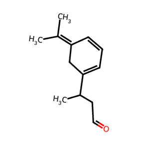 CC(C)=C1C=CC=C(C(C)CC=O)C1